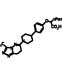 CCCCCC(Oc1ccc(C2CCN(C3=Nn4c(nnc4C(F)(F)F)CC3)CC2)cc1)C(=O)O